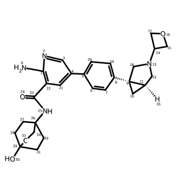 Nc1ncc(-c2ccc([C@@]34C[C@@H]3CN(C3COC3)C4)cc2)cc1C(=O)NC12CCC(O)(CC1)CC2